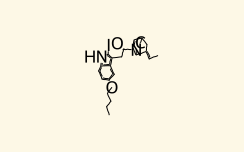 C/C=C1\CC2C=CC1N(C(=O)Cc1c(I)[nH]c3ccc(OCCCC)cc13)C2